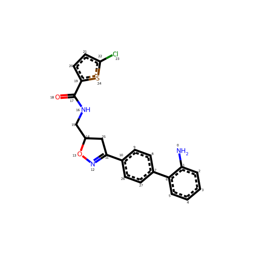 Nc1ccccc1-c1ccc(C2=NOC(CNC(=O)c3ccc(Cl)s3)C2)cc1